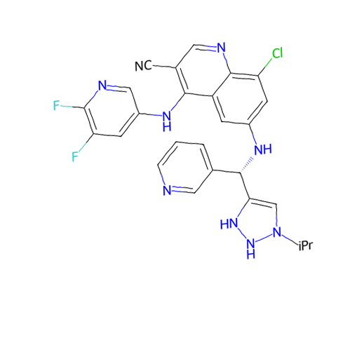 CC(C)N1C=C([C@@H](Nc2cc(Cl)c3ncc(C#N)c(Nc4cnc(F)c(F)c4)c3c2)c2cccnc2)NN1